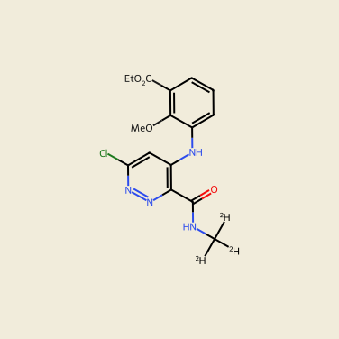 [2H]C([2H])([2H])NC(=O)c1nnc(Cl)cc1Nc1cccc(C(=O)OCC)c1OC